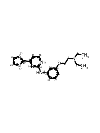 CCN(CC)CCOc1cccc(Nc2nccc(-c3nccs3)n2)c1